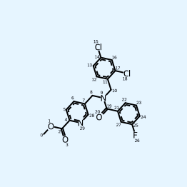 COC(=O)c1ccc(CN(Cc2ccc(Cl)cc2Cl)C(=O)c2cccc(F)c2)cn1